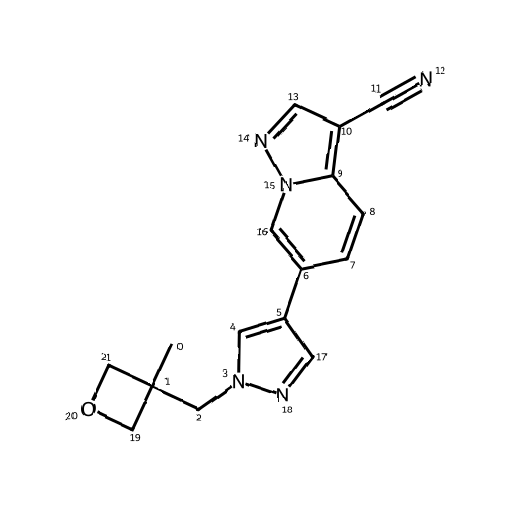 CC1(Cn2cc(-c3ccc4c(C#N)cnn4c3)cn2)COC1